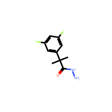 CC(C)(C(=O)NN)c1cc(F)cc(F)c1